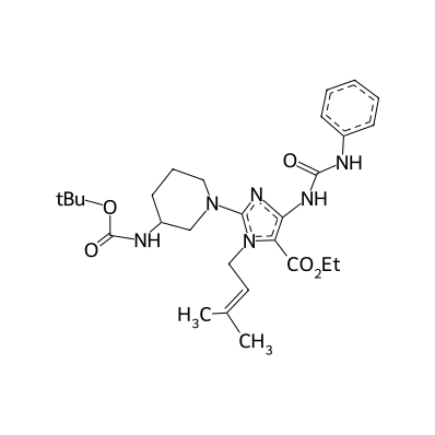 CCOC(=O)c1c(NC(=O)Nc2ccccc2)nc(N2CCCC(NC(=O)OC(C)(C)C)C2)n1CC=C(C)C